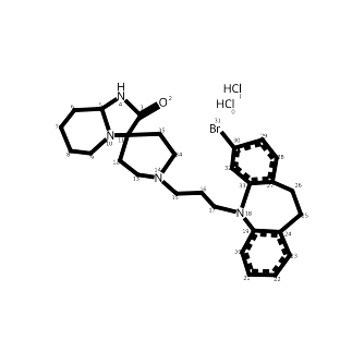 Cl.Cl.O=C1NC2CCCCN2C12CCN(CCCN1c3ccccc3CCc3ccc(Br)cc31)CC2